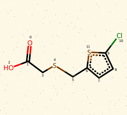 O=C(O)CSCc1ccc(Cl)s1